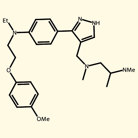 CCN(CCOc1ccc(OC)cc1)c1ccc(-c2n[nH]cc2CN(C)CC(C)NC)cc1